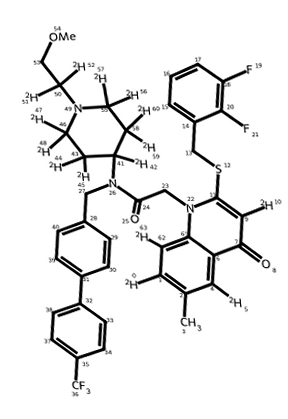 [2H]c1c(C)c([2H])c2c(=O)c([2H])c(SCc3cccc(F)c3F)n(CC(=O)N(Cc3ccc(-c4ccc(C(F)(F)F)cc4)cc3)C3([2H])C([2H])([2H])C([2H])([2H])N(C([2H])([2H])COC)C([2H])([2H])C3([2H])[2H])c2c1[2H]